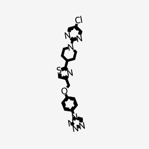 Clc1cnc(N2CCC(c3nc(COc4ccc(-n5cnnn5)cc4)cs3)CC2)nc1